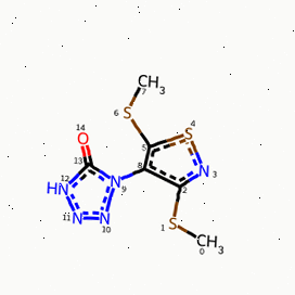 CSc1nsc(SC)c1-n1nn[nH]c1=O